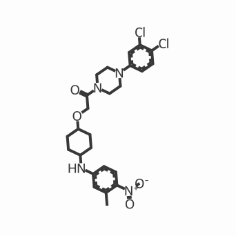 Cc1cc(NC2CCC(OCC(=O)N3CCN(c4ccc(Cl)c(Cl)c4)CC3)CC2)ccc1[N+](=O)[O-]